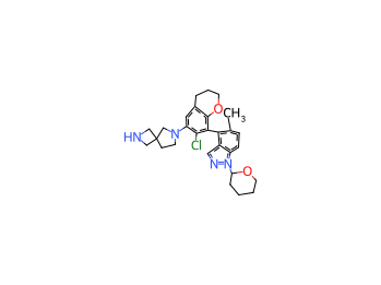 Cc1ccc2c(cnn2C2CCCCO2)c1-c1c(Cl)c(N2CCC3(CNC3)C2)cc2c1OCCC2